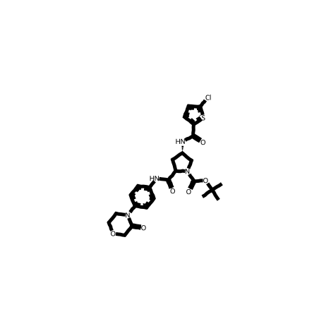 CC(C)(C)OC(=O)N1C[C@@H](NC(=O)c2ccc(Cl)s2)CC1C(=O)Nc1ccc(N2CCOCC2=O)cc1